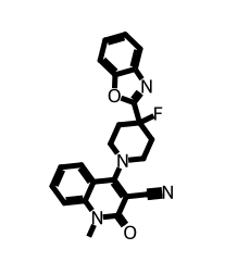 Cn1c(=O)c(C#N)c(N2CCC(F)(c3nc4ccccc4o3)CC2)c2ccccc21